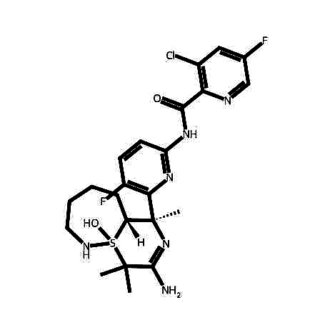 CC1(C)C(N)=N[C@](C)(c2nc(NC(=O)c3ncc(F)cc3Cl)ccc2F)[C@H]2CCCCNS21O